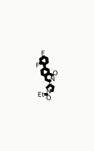 CCC(=O)N1CC[C@@H](C2=NC(=O)c3cc(-c4ccc(F)cc4F)ccc3C2)C1